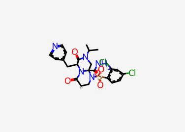 CC(C)N1CC2(C(N)=O)N(C(=O)[C]CN2S(=O)(=O)c2ccc(Cl)cc2Cl)C(Cc2ccncc2)C1=O